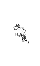 CN1CN(N)N=C1CC1CCN(CC2COc3ccccc3O2)CC1